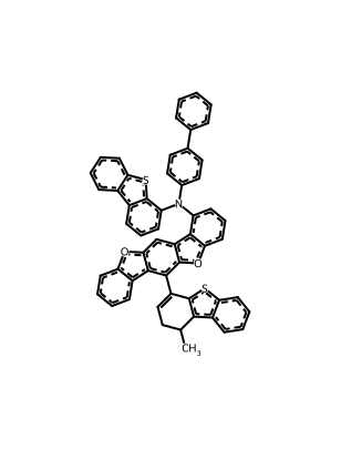 CC1CC=C(c2c3oc4cccc(N(c5ccc(-c6ccccc6)cc5)c5cccc6c5sc5ccccc56)c4c3cc3oc4ccccc4c23)c2sc3ccccc3c21